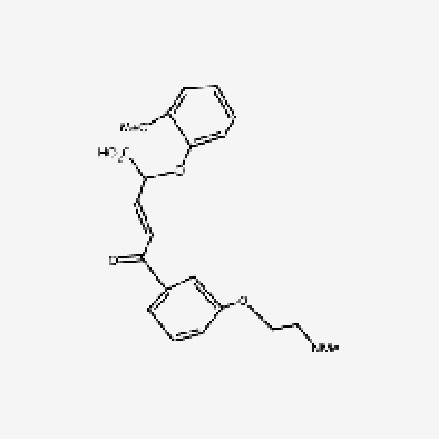 CNCCOc1cccc(C(=O)C=CC(Oc2ccccc2OC)C(=O)O)c1